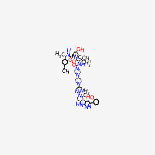 C#Cc1ccc([C@H](C)NC(=O)[C@@H]2C[C@@H](O)CN2C(=O)[C@@H](NC(=O)N2CCN(C3CCN(c4cnc(N5CCC6Nc7nnc(-c8ccccc8O)cc7C6[C@H]5C)nc4)CC3)CC2)C(C)(C)C)cc1